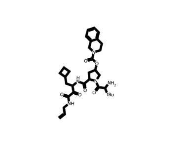 C=CCNC(=O)C(=O)C(CC1CCC1)NC(=O)C1CC(OC(=O)N2CCc3ccccc3C2)CN1C(=O)C(N)C(C)(C)C